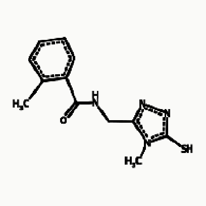 Cc1ccccc1C(=O)NCc1nnc(S)n1C